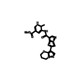 COC(=O)C1=CNC(C)C(NC(=O)c2cnn3cc(-c4cnn5c4OCCC5)sc23)=C1